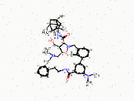 Cc1c(CN2O[C@@H](CN(C)C)[C@@H]([C@H](C)O)[C@H]2C(=O)N[C@H]2C[C@H]3C[C@@H]([C@@H]2C)C3(C)C)cccc1-c1cc(C(=O)NCCc2ccccc2)cc(N(C)C)c1